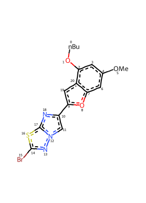 CCCCOc1cc(OC)cc2oc(-c3cn4nc(Br)sc4n3)cc12